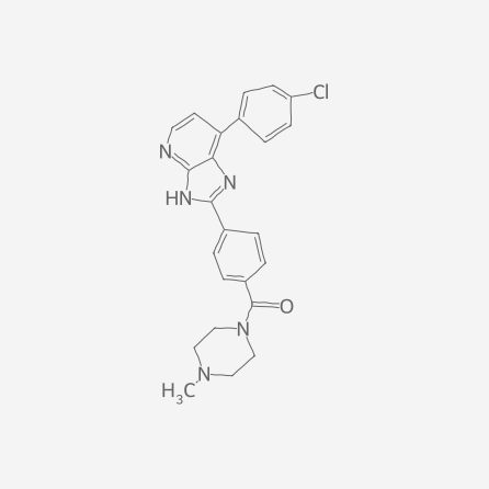 CN1CCN(C(=O)c2ccc(-c3nc4c(-c5ccc(Cl)cc5)ccnc4[nH]3)cc2)CC1